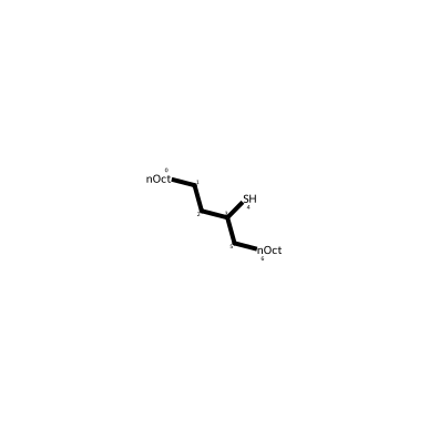 CCCCCCCCCCC(S)CCCCCCCCC